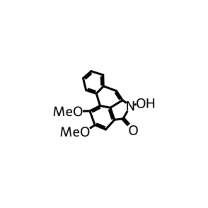 COc1cc2c3c(cc4ccccc4c3c1OC)N(O)C2=O